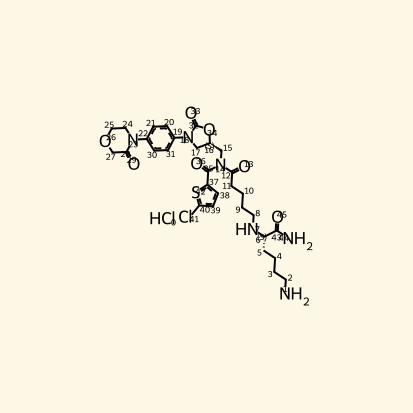 Cl.NCCCC[C@H](NCCCCC(=O)N(C[C@H]1CN(c2ccc(N3CCOCC3=O)cc2)C(=O)O1)C(=O)c1ccc(Cl)s1)C(N)=O